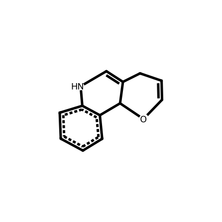 C1=COC2C(=CNc3ccccc32)C1